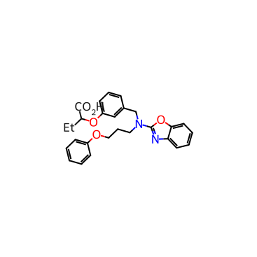 CCC(Oc1cccc(CN(CCCOc2ccccc2)c2nc3ccccc3o2)c1)C(=O)O